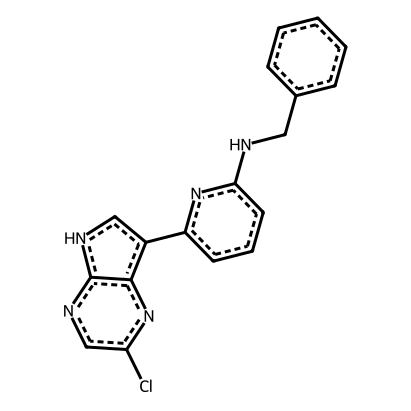 Clc1cnc2[nH]cc(-c3cccc(NCc4ccccc4)n3)c2n1